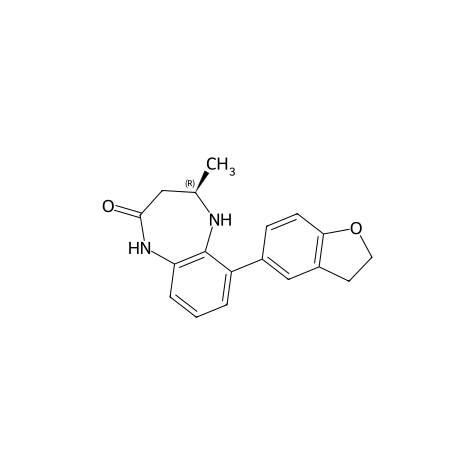 C[C@@H]1CC(=O)Nc2cccc(-c3ccc4c(c3)CCO4)c2N1